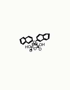 O=P(O)(O)OP(=O)(O)O.c1ccc2cc(Oc3ccc4ccccc4c3)ccc2c1